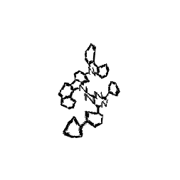 c1ccc(-c2cccc(-c3nc(-c4ccccc4)nc(-n4c5cc(-n6c7ccccc7c7ccccc76)ccc5c5ccc6ccccc6c54)n3)c2)cc1